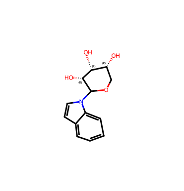 O[C@@H]1[C@H](O)COC(n2ccc3ccccc32)[C@@H]1O